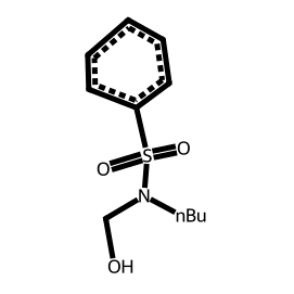 CCCCN(CO)S(=O)(=O)c1ccccc1